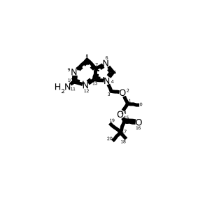 CC(OCn1cnc2cnc(N)nc21)OC(=O)C(C)(C)C